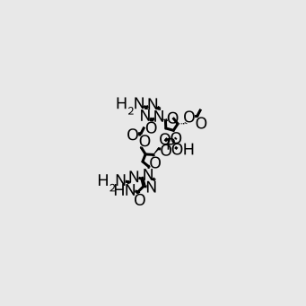 CC(=O)OCC1C[C@H](n2cnc3c(=O)[nH]c(N)nc32)O[C@@H]1COP(=O)(O)O[C@@H]1C[C@H](n2cnc(N)nc2=O)O[C@@H]1COC(C)=O